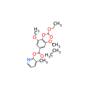 CC.CCOC(=O)Oc1c(OC)cc(C(=O)Oc2ncccc2C)cc1OC